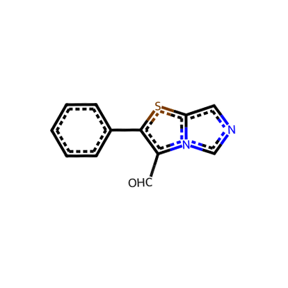 O=Cc1c(-c2ccccc2)sc2cncn12